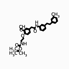 COc1cc(CC(=O)Nc2cccc(CCc3cccc(C)c3)c2)ccc1OCCNC(=O)OC(C)(C)C